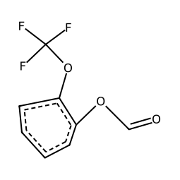 O=COc1ccccc1OC(F)(F)F